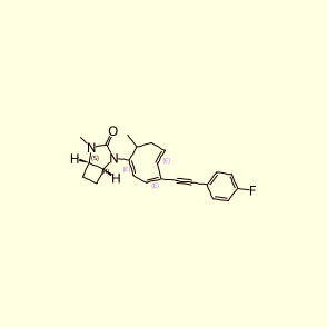 CC1C/C=C/C(C#Cc2ccc(F)cc2)=C\C=C/1N1C(=O)N(C)[C@H]2CC[C@H]21